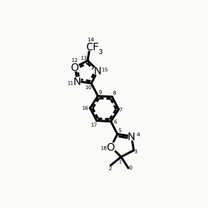 CC1(C)CN=C(c2ccc(-c3noc(C(F)(F)F)n3)cc2)O1